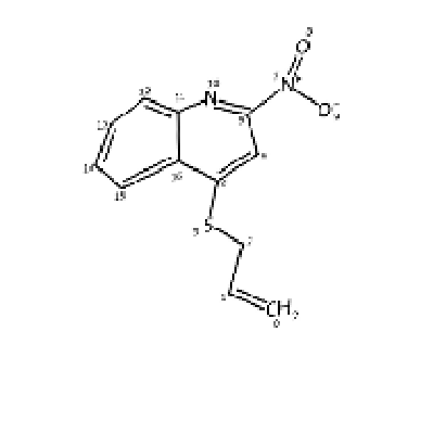 C=CCSc1cc([N+](=O)[O-])nc2ccccc12